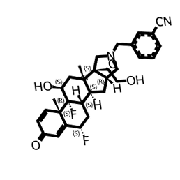 C[C@]12C=CC(=O)C=C1[C@@H](F)C[C@H]1[C@@H]3C[C@H]4CN(Cc5cccc(C#N)c5)C[C@@]4(C(=O)CO)[C@@]3(C)C[C@H](O)[C@@]12F